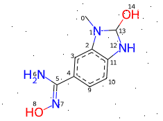 CN1c2cc(/C(N)=N/O)ccc2NC1O